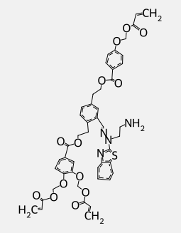 C=CC(=O)OCOc1ccc(C(=O)OCCc2ccc(CCOC(=O)c3ccc(OCOC(=O)C=C)c(OCOC(=O)C=C)c3)c(/C=N/N(CCN)c3nc4ccccc4s3)c2)cc1